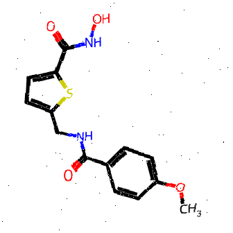 COc1ccc(C(=O)NCc2ccc(C(=O)NO)s2)cc1